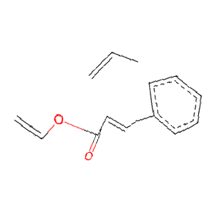 C=CC.C=COC(=O)C=Cc1ccccc1